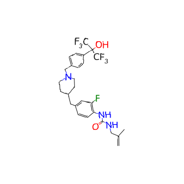 C=C(C)CNC(=O)Nc1ccc(CC2CCN(Cc3ccc(C(O)(C(F)(F)F)C(F)(F)F)cc3)CC2)cc1F